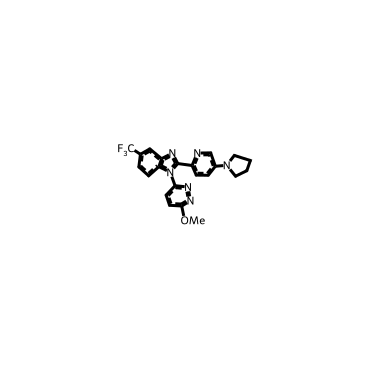 COc1ccc(-n2c(-c3ccc(N4CCCC4)cn3)nc3cc(C(F)(F)F)ccc32)nn1